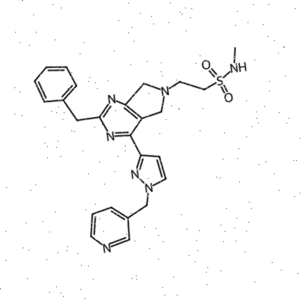 CNS(=O)(=O)CCN1Cc2nc(Cc3ccccc3)nc(-c3ccn(Cc4cccnc4)n3)c2C1